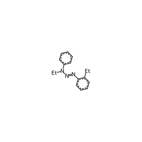 CCc1ccccc1N=NN(CC)c1ccccc1